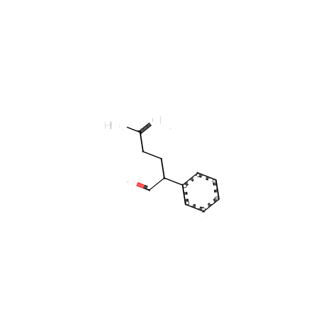 C=C(C)CCC(C=O)c1ccccc1